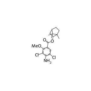 COc1c(C(=O)OC2CC3CCC2(C)C3(C)C)cc(Cl)c(N)c1Cl